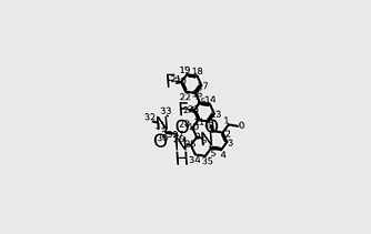 CCc1ccc2n(c1=O)C(Cc1cccc(-c3cccc(F)c3)c1F)C(NC(=O)C(=O)N(C)C)CC2